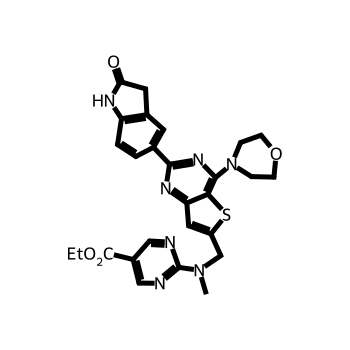 CCOC(=O)c1cnc(N(C)Cc2cc3nc(-c4ccc5c(c4)CC(=O)N5)nc(N4CCOCC4)c3s2)nc1